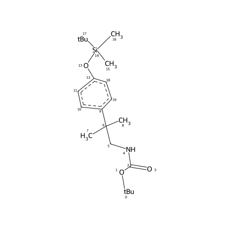 CC(C)(C)OC(=O)NCC(C)(C)c1ccc(O[Si](C)(C)C(C)(C)C)cc1